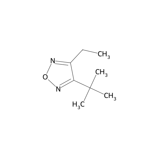 CCc1nonc1C(C)(C)C